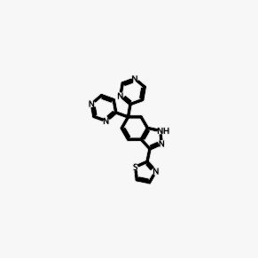 C1=CC(c2ccncn2)(c2ccncn2)Cc2[nH]nc(-c3nccs3)c21